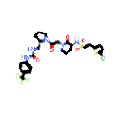 O=C(NC[C@H]1CCCN1C(=O)CN1CCC[C@H](NS(=O)(=O)/C=C/c2ccc(Cl)s2)C1=O)Nc1ccc(C(F)(F)F)cc1